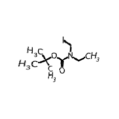 CCN(CI)C(=O)OC(C)(C)C